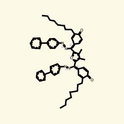 CCCCCCCCC1=C/C(=C(\N=N\c2ccc(-c3ccccc3)cc2)c2oc(C(/N=N/c3ccc(-c4ccccc4)cc3)=C3\C=CC(=O)C(CCCCCCCC)=C3)c(C)c2C)C=CC1=O